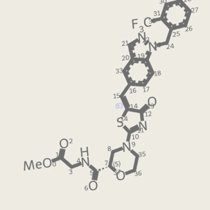 COC(=O)CNC(=O)[C@@H]1CN(C2=NC(=O)/C(=C\c3ccc4c(cnn4Cc4ccc(C(F)(F)F)cc4C(F)(F)F)c3)S2)CCO1